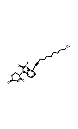 Cn1c(=O)n(C2CCC(=O)NC2=O)c2cccc(C#CCCCCCCCCO)c21